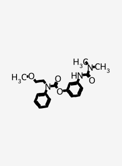 COCCN(C(=O)Oc1cccc(NC(=O)N(C)C)c1)c1ccccc1